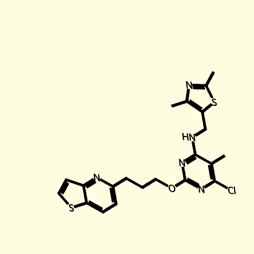 Cc1nc(C)c(CNc2nc(OCCCc3ccc4sccc4n3)nc(Cl)c2C)s1